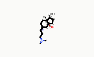 CN(C)CC/C=C1/CC[C@]2(C)[C@@H](C=O)CC[C@]2(O)C1